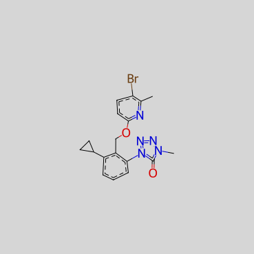 Cc1nc(OCc2c(C3CC3)cccc2-n2nnn(C)c2=O)ccc1Br